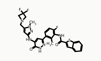 Cc1c(-c2cc(Nc3cc(CN4CC(F)(F)C4)n(C)n3)c(=O)[nH]n2)ccc(F)c1NC(=O)c1cc2ccccc2s1